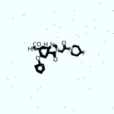 O=C(O)Nc1cc2ncn(CC(=O)N3CCC(F)CC3)c(=O)c2cc1Oc1ccccc1